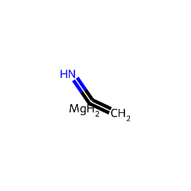 C=C=N.[MgH2]